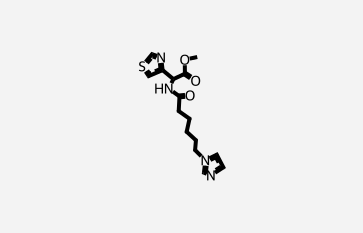 COC(=O)C(NC(=O)CCCCCn1ccnc1)c1cscn1